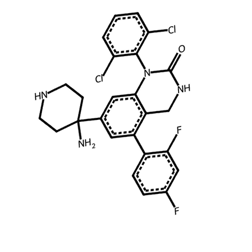 NC1(c2cc(-c3ccc(F)cc3F)c3c(c2)N(c2c(Cl)cccc2Cl)C(=O)NC3)CCNCC1